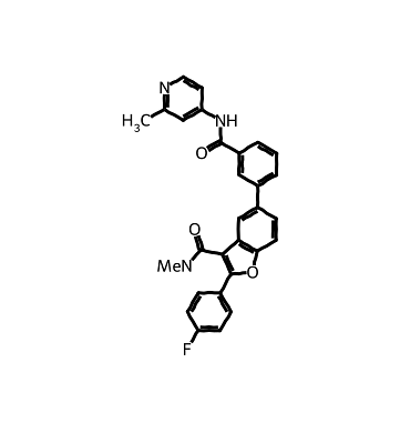 CNC(=O)c1c(-c2ccc(F)cc2)oc2ccc(-c3cccc(C(=O)Nc4ccnc(C)c4)c3)cc12